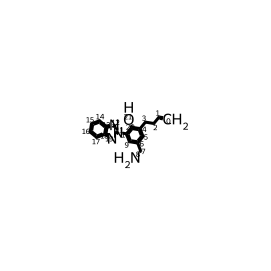 C=CCCc1cc(CN)cc(-n2nc3ccccc3n2)c1O